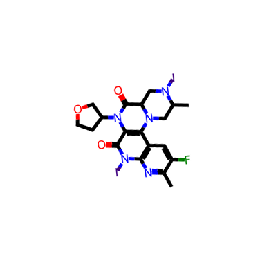 Cc1nc2c(cc1F)c1c(c(=O)n2I)N(C2CCOC2)C(=O)C2CN(I)C(C)CN12